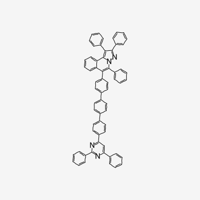 c1ccc(-c2cc(-c3ccc(-c4ccc(-c5ccc(-c6c(-c7ccccc7)n7nc(-c8ccccc8)c(-c8ccccc8)c7c7ccccc67)cc5)cc4)cc3)nc(-c3ccccc3)n2)cc1